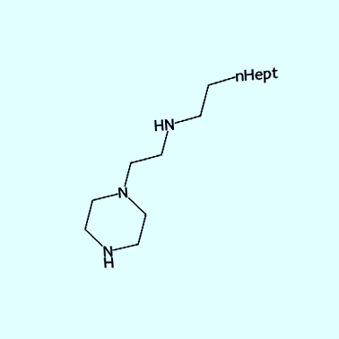 CCCCCCCCCNCCN1CCNCC1